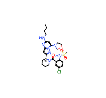 CCCCNc1cc(N2CCOC2)n2nc([C@@H]3CCCCN3C(=O)c3cc(Cl)ccc3NS(C)(=O)=O)cc2n1